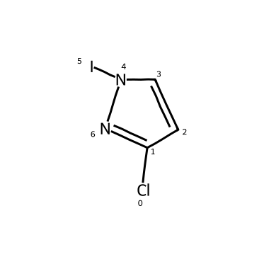 Clc1ccn(I)n1